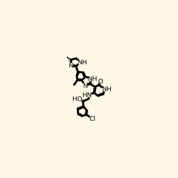 Cc1cc(C2=N[C@@H](C)CN2)cc2[nH]c(-c3c(NC[C@H](O)c4cccc(Cl)c4)cc[nH]c3=O)nc12